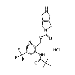 CC(C)(C)C(=O)Nc1cc(C(F)(F)F)cnc1COC(=O)N1CC2=C(CNC2)C1.Cl